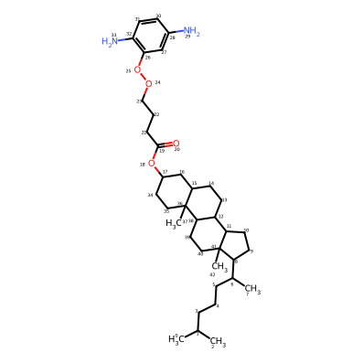 CC(C)CCCC(C)C1CCC2C3CCC4CC(OC(=O)CCCOOc5cc(N)ccc5N)CCC4(C)C3CCC12C